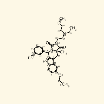 CCOc1ccc2[nH]c3c(c2c1)CC1(C)C(=O)N(CCN(CC)CCOC)C(=O)N1C3c1cccc(O)c1